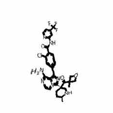 C[C@H]1CC[C@](C(=O)C2(C)COC2)(c2nc(-c3ccc(C(=O)Nc4cc(C(F)(F)F)ccn4)c(Cl)c3)c3c(N)nccn23)CN1